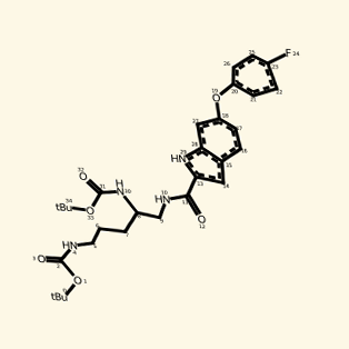 CC(C)(C)OC(=O)NCCCC(CNC(=O)c1cc2ccc(Oc3ccc(F)cc3)cc2[nH]1)NC(=O)OC(C)(C)C